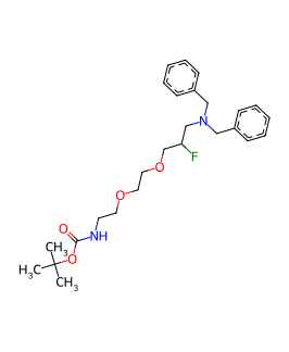 CC(C)(C)OC(=O)NCCOCCOCC(F)CN(Cc1ccccc1)Cc1ccccc1